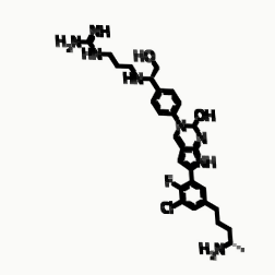 C[C@H](N)CCCc1cc(Cl)c(F)c(-c2cc3c([nH]2)=NC(O)N(c2ccc([C@H](CO)NCCCNC(=N)N)cc2)C=3)c1